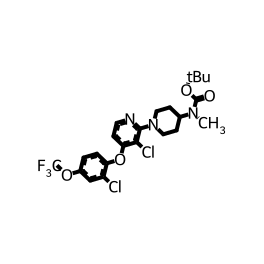 CN(C(=O)OC(C)(C)C)C1CCN(c2nccc(Oc3ccc(OC(F)(F)F)cc3Cl)c2Cl)CC1